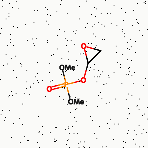 COP(=O)(OC)OC1CO1